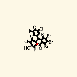 O=C1C(Cl)=CC2C(=C1I)Oc1c(cc(I)c(O)c1Cl)C2c1c(Br)c(Br)c(Br)c(Br)c1C(=O)O